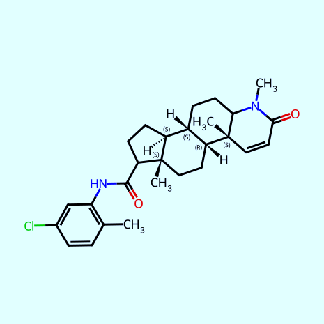 Cc1ccc(Cl)cc1NC(=O)C1CC[C@H]2[C@@H]3CCC4N(C)C(=O)C=C[C@]4(C)[C@@H]3CC[C@]12C